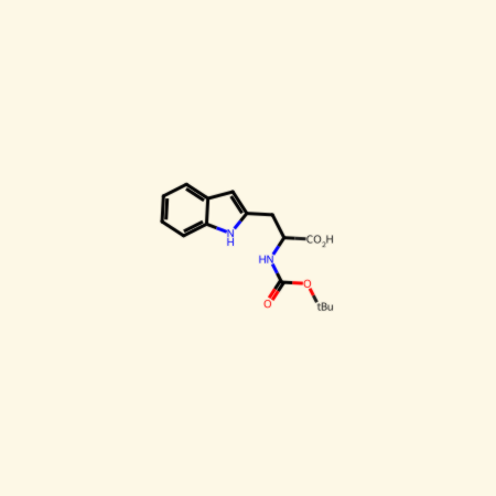 CC(C)(C)OC(=O)NC(Cc1cc2ccccc2[nH]1)C(=O)O